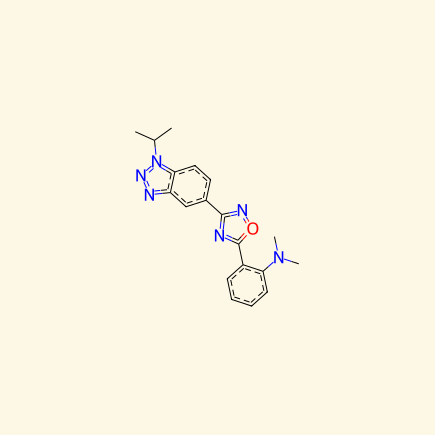 CC(C)n1nnc2cc(-c3noc(-c4ccccc4N(C)C)n3)ccc21